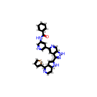 O=C(Nc1cncc(-c2cc3c(-c4cc5c(-c6cccs6)nccc5[nH]4)n[nH]c3cn2)c1)c1ccccc1